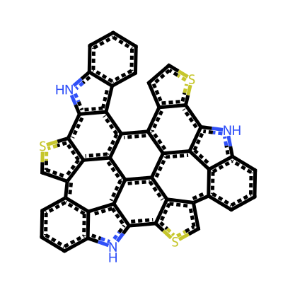 c1ccc2c(c1)[nH]c1c3scc4c5cccc6[nH]c7c8scc9c%10cccc%11[nH]c%12c%13sccc%13c%13c(c21)c(c43)c(c7c65)c(c98)c%13c%12c%11%10